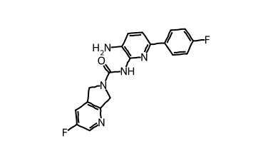 Nc1ccc(-c2ccc(F)cc2)nc1NC(=O)N1Cc2cc(F)cnc2C1